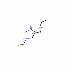 CCNC[C@]1(NC)C[C@@H]1CC